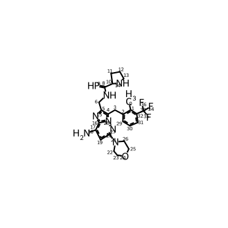 Cc1c(Cc2c(CNC(=P)C3CCCN3)nc3c(N)cc(N4CCOCC4)nn23)cccc1C(F)(F)F